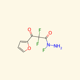 NN(F)C(=O)C(F)(F)C(=O)c1ccco1